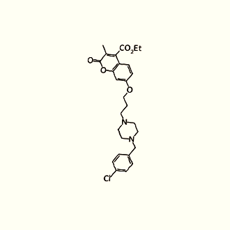 CCOC(=O)c1c(C)c(=O)oc2cc(OCCCN3CCN(Cc4ccc(Cl)cc4)CC3)ccc12